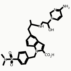 CC(Cc1ccc2c(c1)cc(C(=O)O)n2Cc1ccc(S(=O)(=O)N(C)C)cc1)NCC(O)N1C=CC(N)=NC1